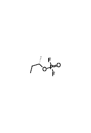 CC[C@H](C)OP(=O)(F)F